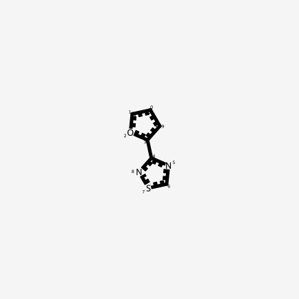 c1coc(-c2ncsn2)c1